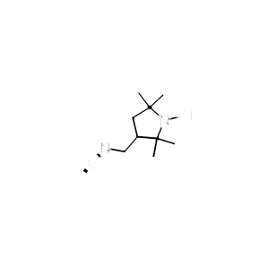 CC1(C)CC(CN=C=S)C(C)(C)N1O